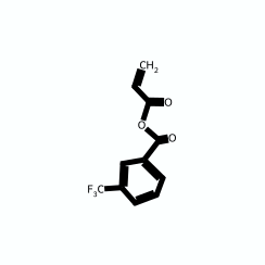 C=CC(=O)OC(=O)c1cccc(C(F)(F)F)c1